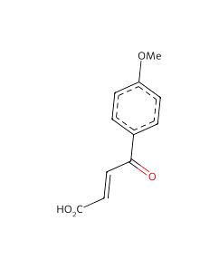 COc1ccc(C(=O)C=CC(=O)O)cc1